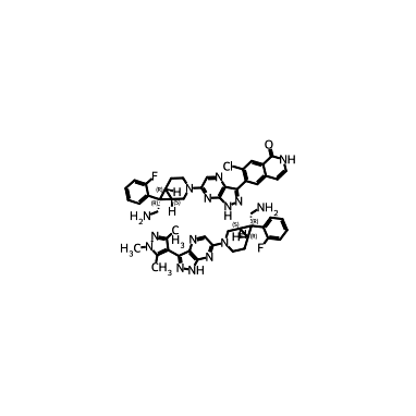 Cc1nn(C)c(C)c1-c1n[nH]c2nc(N3CC[C@@H]4[C@H](C3)[C@@]4(CN)c3ccccc3F)cnc12.NC[C@]1(c2ccccc2F)[C@@H]2CCN(c3cnc4c(-c5cc6cc[nH]c(=O)c6cc5Cl)n[nH]c4n3)C[C@@H]21